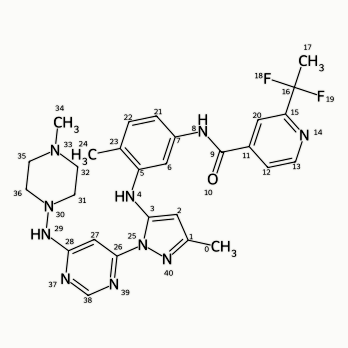 Cc1cc(Nc2cc(NC(=O)c3ccnc(C(C)(F)F)c3)ccc2C)n(-c2cc(NN3CCN(C)CC3)ncn2)n1